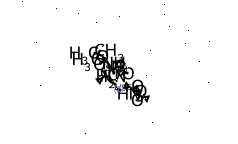 CC(C)(C)OC(=O)N[C@@H](CN(CCC/C=C\[C@@H]1C[C@@H]1C(=O)NS(=O)(=O)C1CC1)C1CC1)C(=O)N1CCC[C@H]1C(N)=O